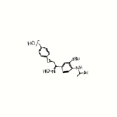 CC(=O)C(C)Nc1ccc(C(COc2ccc(C(=O)O)cc2)=NO)cc1C(C)(C)C